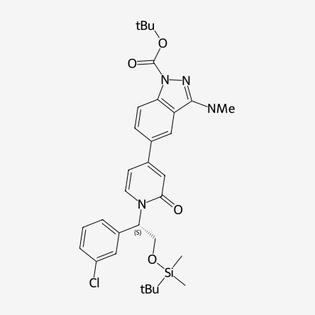 CNc1nn(C(=O)OC(C)(C)C)c2ccc(-c3ccn([C@H](CO[Si](C)(C)C(C)(C)C)c4cccc(Cl)c4)c(=O)c3)cc12